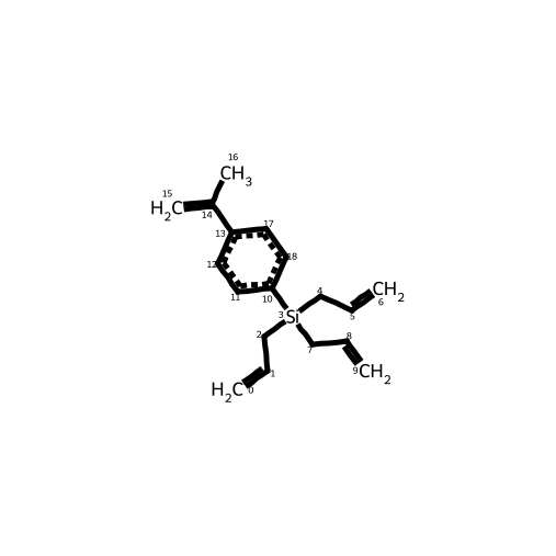 C=CC[Si](CC=C)(CC=C)c1ccc(C(=C)C)cc1